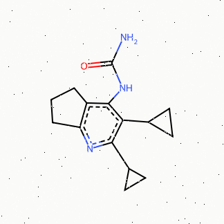 NC(=O)Nc1c2c(nc(C3CC3)c1C1CC1)CCC2